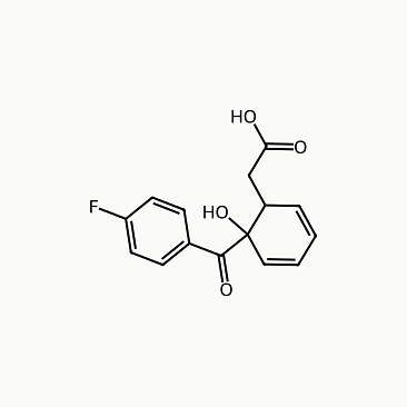 O=C(O)CC1C=CC=CC1(O)C(=O)c1ccc(F)cc1